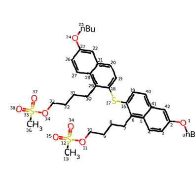 CCCCOc1ccc2c(CCCCOS(C)(=O)=O)c(Sc3ccc4cc(OCCCC)ccc4c3CCCCOS(C)(=O)=O)ccc2c1